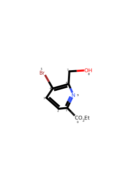 CCOC(=O)c1ccc(Br)c(CO)n1